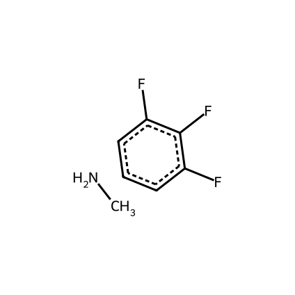 CN.Fc1cccc(F)c1F